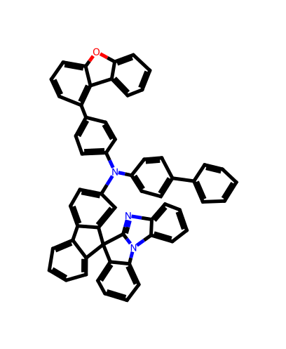 c1ccc(-c2ccc(N(c3ccc(-c4cccc5oc6ccccc6c45)cc3)c3ccc4c(c3)C3(c5ccccc5-4)c4ccccc4-n4c3nc3ccccc34)cc2)cc1